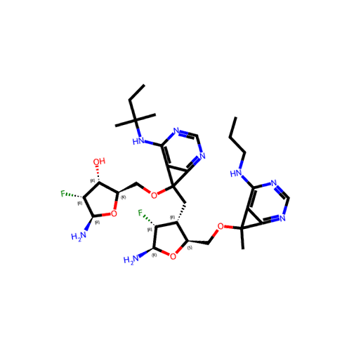 CCCNc1ncnc2c1C2(C)OC[C@H]1O[C@@H](N)[C@H](F)[C@@H]1CC1(OC[C@H]2O[C@@H](N)[C@H](F)[C@@H]2O)c2ncnc(NC(C)(C)CC)c21